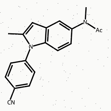 CC(=O)N(C)c1ccc2c(c1)cc(C)n2-c1ccc(C#N)cc1